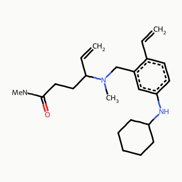 C=Cc1ccc(NC2CCCCC2)cc1CN(C)C(C=C)CCC(=O)NC